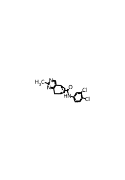 Cc1ncc2c(n1)CC1CCC2N1C(=O)Nc1ccc(Cl)c(Cl)c1